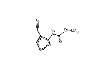 COC(=O)Nc1ncccc1C#N